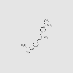 CCCC(C)OC1CCC(CCC(C)CN2CCN(C(C)CC)CC2)CC1